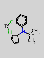 C[SiH](C)N(c1ccccc1)C1C=CC=C1.[Cl][Ti][Cl]